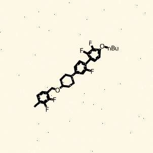 CCCCOc1ccc(-c2ccc(C3CCC(OCc4ccc(C)c(F)c4F)CC3)cc2F)c(F)c1F